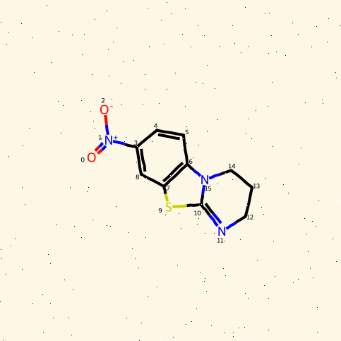 O=[N+]([O-])c1ccc2c(c1)SC1=NCCCN12